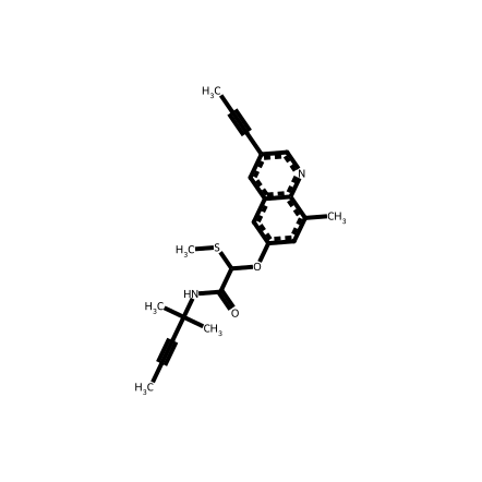 CC#Cc1cnc2c(C)cc(OC(SC)C(=O)NC(C)(C)C#CC)cc2c1